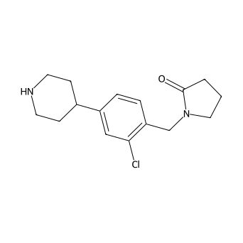 O=C1CCCN1Cc1ccc(C2CCNCC2)cc1Cl